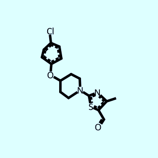 Cc1nc(N2CCC(Oc3ccc(Cl)cc3)CC2)sc1C=O